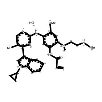 C=CC(=O)Nc1cc(Nc2ncc(C#N)c(-c3cn(C4CC4)c4ccccc34)n2)c(OC)cc1N(C)CCNC(C)(C)C.Cl